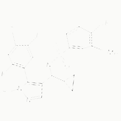 COc1cc(S(=O)(=O)NC(c2cnn(C(C)(C)C)c2-c2cc(F)c(F)cc2F)C2CC2)ccc1C(F)(F)F